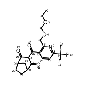 CCOCOCc1nc(C(F)(F)F)ccc1C(=O)C1C(=O)C2CCC(C2)C1=O